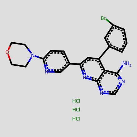 Cl.Cl.Cl.Nc1ncnc2nc(-c3ccc(N4CCOCC4)nc3)cc(-c3cccc(Br)c3)c12